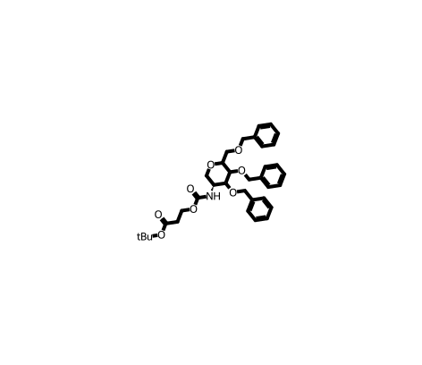 CC(C)(C)OC(=O)CCOC(=O)N[C@@H]1COC(COCc2ccccc2)C(OCc2ccccc2)C1OCc1ccccc1